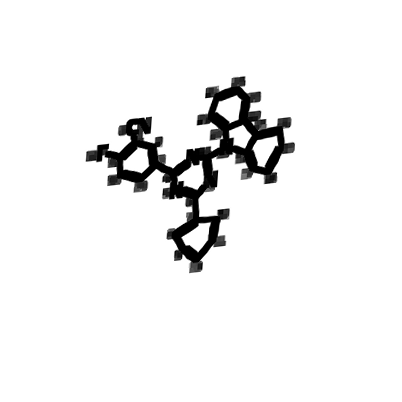 N#Cc1cc(-c2nc(-c3ccccc3)nc(-n3c4ccccc4c4ccccc43)n2)ccc1F